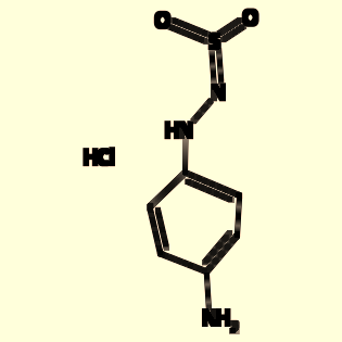 Cl.Nc1ccc(NN=S(=O)=O)cc1